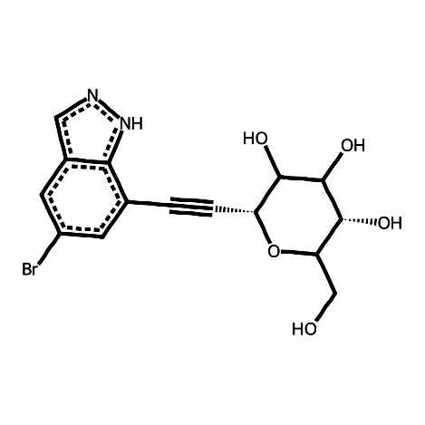 OCC1O[C@H](C#Cc2cc(Br)cc3cn[nH]c23)C(O)C(O)[C@@H]1O